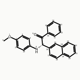 COc1ccc(N[C@H](C(=O)c2ccccc2)c2ccc3ccccc3c2)cc1